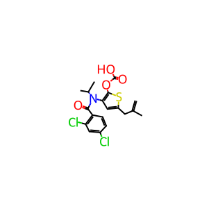 C=C(C)Cc1cc(N(C(=O)c2ccc(Cl)cc2Cl)C(C)C)c(OC(=O)O)s1